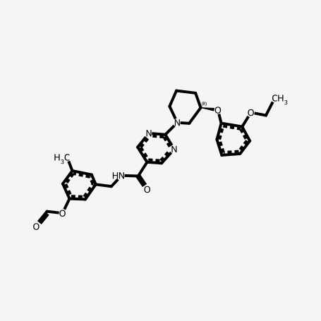 CCOc1ccccc1O[C@@H]1CCCN(c2ncc(C(=O)NCc3cc(C)cc(OC=O)c3)cn2)C1